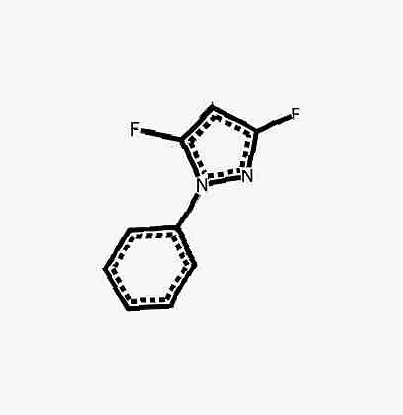 Fc1[c]c(F)n(-c2ccccc2)n1